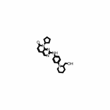 O=c1ccc2cnc(Nc3ccc(N4CCCCC4CO)cc3)nc2n1C1CCCC1